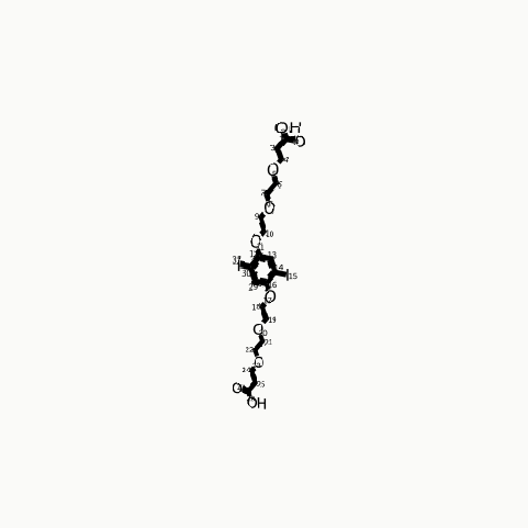 O=C(O)CCOCCOCCOc1cc(I)c(OCCOCCOCCC(=O)O)cc1I